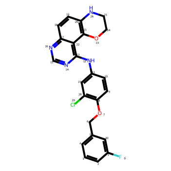 Fc1cccc(COc2ccc(Nc3ncnc4ccc5c(c34)OCCN5)cc2Cl)c1